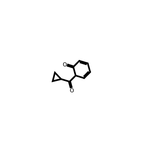 O=C1C=CC=CC1C(=O)C1CC1